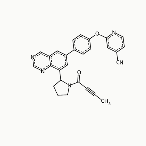 CC#CC(=O)N1CCCC1c1cc(-c2ccc(Oc3cc(C#N)ccn3)cc2)cc2cncnc12